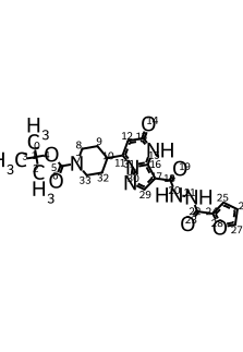 CC(C)(C)OC(=O)N1CCC(c2cc(=O)[nH]c3c(C(=O)NNC(=O)c4ccco4)cnn23)CC1